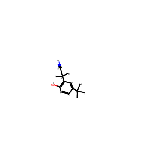 CC(C)(C)c1ccc(O)c(C(C)(C)C#N)c1